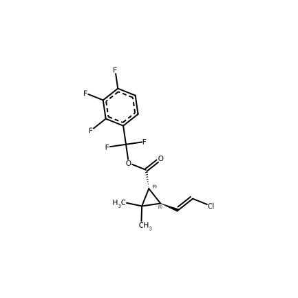 CC1(C)[C@H](C=CCl)[C@H]1C(=O)OC(F)(F)c1ccc(F)c(F)c1F